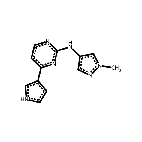 Cn1cc(Nc2nccc(-c3cc[nH]c3)n2)cn1